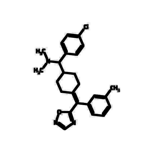 Cc1cccc(C(=C2CCC(C(c3ccc(Cl)cc3)N(C)C)CC2)c2ncno2)c1